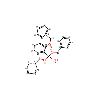 OC(OCc1ccccc1)(OCc1ccccc1)c1ccccc1OCc1ccccc1